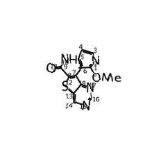 COc1ncccc1-c1c(C(N)=O)sc2cncnc12